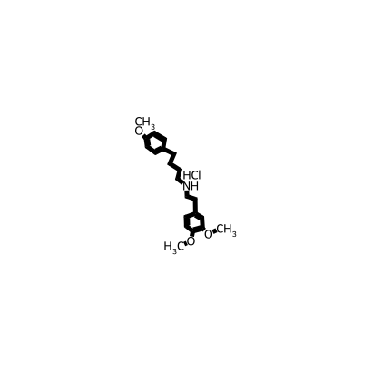 COc1ccc(CCCCNCCc2ccc(OC)c(OC)c2)cc1.Cl